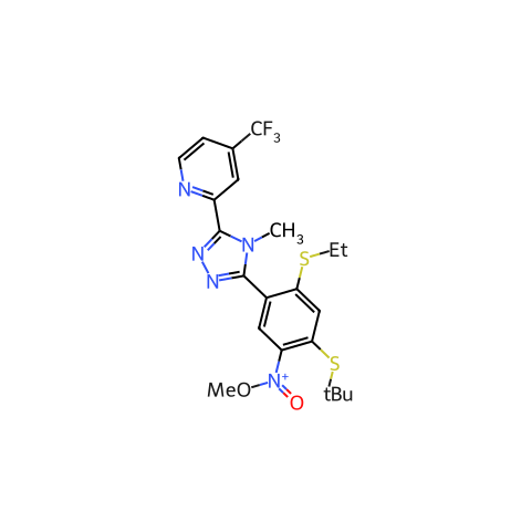 CCSc1cc(SC(C)(C)C)c([N+](=O)OC)cc1-c1nnc(-c2cc(C(F)(F)F)ccn2)n1C